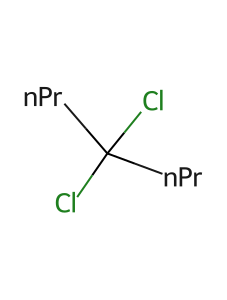 CCCC(Cl)(Cl)CCC